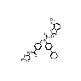 O=C(Nc1nn[nH]n1)c1ccc(CN(C(=O)Nc2nc3cccc(OC(F)(F)F)c3s2)c2ccc(C3=CCCCC3)cc2)cc1